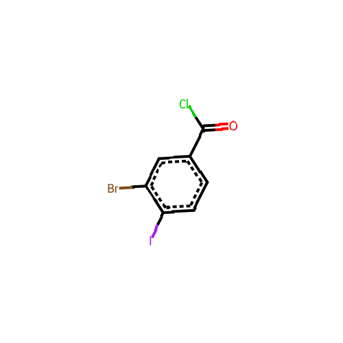 O=C(Cl)c1ccc(I)c(Br)c1